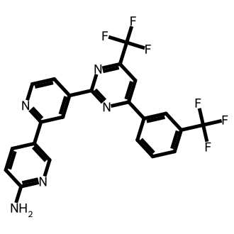 Nc1ccc(-c2cc(-c3nc(-c4cccc(C(F)(F)F)c4)cc(C(F)(F)F)n3)ccn2)cn1